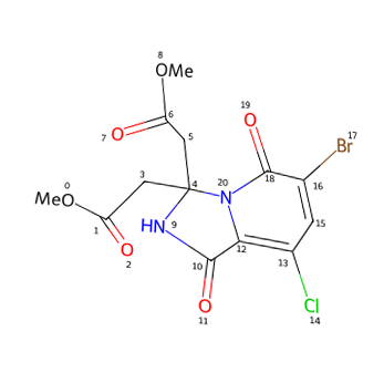 COC(=O)CC1(CC(=O)OC)NC(=O)c2c(Cl)cc(Br)c(=O)n21